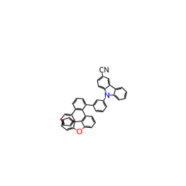 N#Cc1ccc2c(c1)c1ccccc1n2-c1cccc(-c2cccc(-c3ccccc3)c2-c2cccc3oc4ccccc4c23)c1